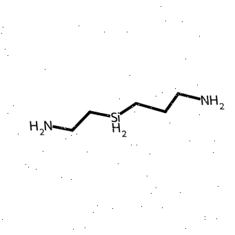 NCCC[SiH2]CCN